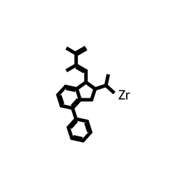 C=C(C)C(C)=CC1c2cccc(-c3ccccc3)c2CC1C(C)C.[Zr]